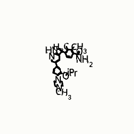 Cc1c(C(N)=O)ccc(-c2c[nH]c3ncc(-c4ccc(N5CCN(C)CC5)c(OC(C)C)c4)cc23)c1C